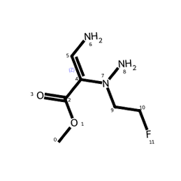 COC(=O)/C(=C/N)N(N)CCF